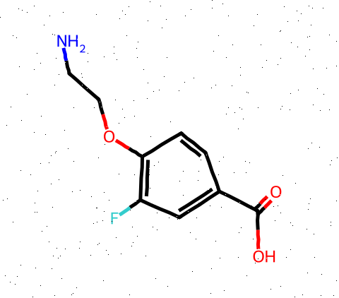 NCCOc1ccc(C(=O)O)cc1F